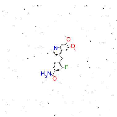 COc1cc2nccc(Cc3ccc(C(N)=O)cc3F)c2cc1OC